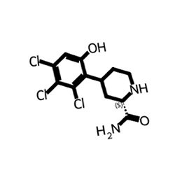 NC(=O)[C@@H]1CC(c2c(O)cc(Cl)c(Cl)c2Cl)CCN1